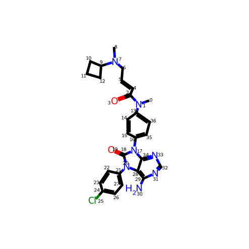 CN(C(=O)C=CCN(C)C1CCC1)c1ccc(-n2c(=O)n(-c3ccc(Cl)cc3)c3c(N)ncnc32)cc1